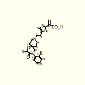 CC1OC2(CCN(CCc3csc(NC(=O)O)n3)CC2)CN(c2ccccc2F)C1=O